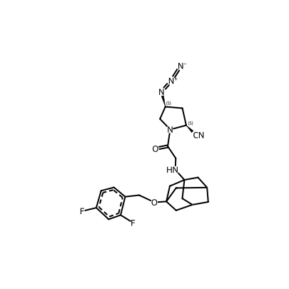 N#C[C@@H]1C[C@H](N=[N+]=[N-])CN1C(=O)CNC12CC3CC(C1)CC(OCc1ccc(F)cc1F)(C3)C2